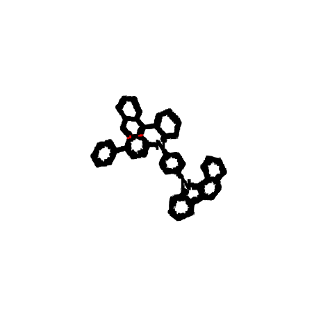 C1=CCC(N(c2ccc(-c3ccccc3)cc2)c2ccc(-n3c4ccccc4c4ccc5ccccc5c43)cc2)C(C2=CC=CC3C=CC=CC23)=C1